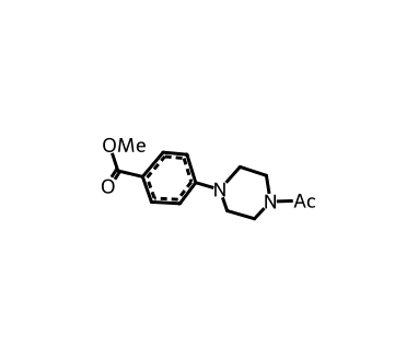 COC(=O)c1ccc(N2CCN(C(C)=O)CC2)cc1